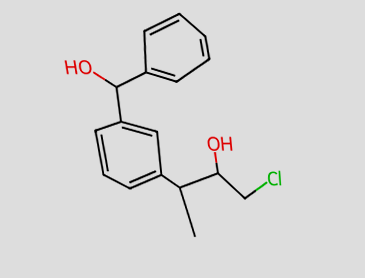 CC(c1cccc(C(O)c2ccccc2)c1)C(O)CCl